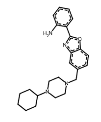 Nc1ccccc1-c1nc2cc(CN3CCN(C4CCCCC4)CC3)ccc2o1